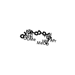 C=C([C@H](NC(=O)OC)c1ccccc1)N(CCC)Cc1ncc(-c2ccc3cc(-c4ccc(-c5cnc(CN(CCC)C(=O)CNC(=O)OC)[nH]5)cc4)ccc3c2)[nH]1